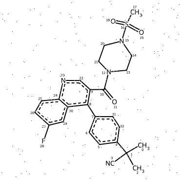 CC(C)(C#N)c1ccc(-c2c(C(=O)N3CCN(S(C)(=O)=O)CC3)cnc3ccc(F)cc23)cc1